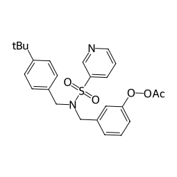 CC(=O)OOc1cccc(CN(Cc2ccc(C(C)(C)C)cc2)S(=O)(=O)c2cccnc2)c1